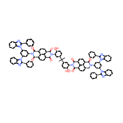 CC(C)(c1ccc(O)c(N2C(=O)c3ccc4c5c(ccc(c35)C2=O)C(=O)N(c2cc(-n3c(-c5ccccc5)nc5ccccc53)cc(-n3c(-c5ccccc5)nc5ccccc53)c2)C4)c1)c1ccc(O)c(N2C(=O)c3ccc4c5c(ccc(c35)C2=O)C(=O)N(c2cc(-n3c(-c5ccccc5)nc5ccccc53)cc(-n3c(-c5ccccc5)nc5ccccc53)c2)C4=O)c1